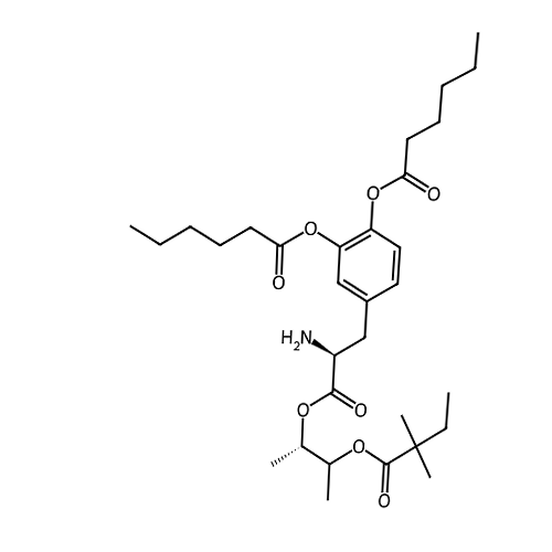 CCCCCC(=O)Oc1ccc(C[C@H](N)C(=O)O[C@@H](C)C(C)OC(=O)C(C)(C)CC)cc1OC(=O)CCCCC